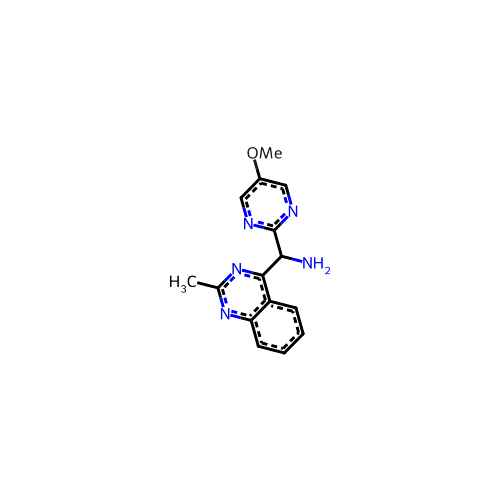 COc1cnc(C(N)c2nc(C)nc3ccccc23)nc1